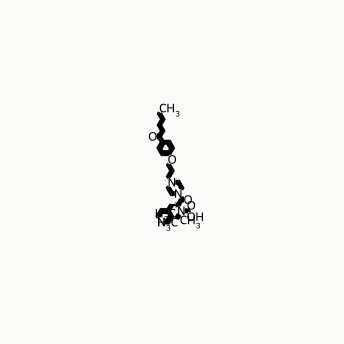 CCCCCC(=O)c1ccc(OCCCN2CCN(C(=O)[C@H](Cc3ccncc3)N(C(=O)O)C(C)(C)C)CC2)cc1